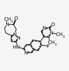 Cc1c(-c2cc3cc(Nc4cc5n(n4)CC(=O)N(C)CC5)ncc3cc2F)cnc(=O)n1C